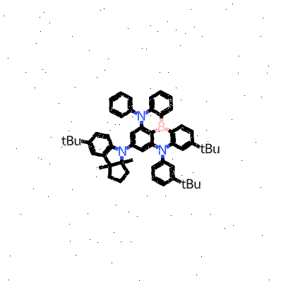 CC(C)(C)c1cccc(N2c3cc(C(C)(C)C)ccc3B3c4ccccc4N(c4ccccc4)c4cc(N5c6ccc(C(C)(C)C)cc6C6(C)CCCC56C)cc2c43)c1